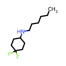 CCCCCCNC1CCC(F)(F)CC1